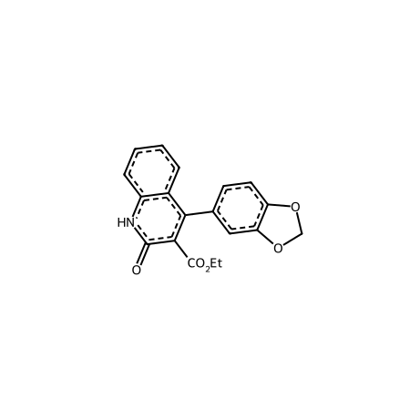 CCOC(=O)c1c(-c2ccc3c(c2)OCO3)c2ccccc2[nH]c1=O